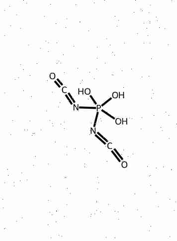 O=C=NP(O)(O)(O)N=C=O